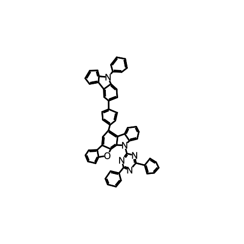 c1ccc(-c2nc(-c3ccccc3)nc(-n3c4ccccc4c4c(-c5ccc(-c6ccc7c(c6)c6ccccc6n7-c6ccccc6)cc5)cc5c6ccccc6oc5c43)n2)cc1